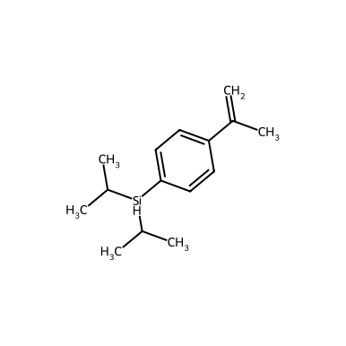 C=C(C)c1ccc([SiH](C(C)C)C(C)C)cc1